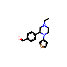 CCN1CCN(c2ccsc2)C(c2ccc(C=O)cc2)C1